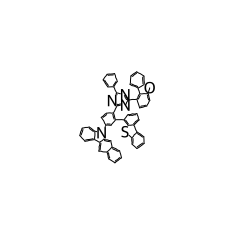 c1ccc(-c2nc(-c3ccc(-n4c5ccccc5c5cc6ccccc6cc54)cc3-c3cccc4c3sc3ccccc34)nc(-c3cccc4oc5ccccc5c34)n2)cc1